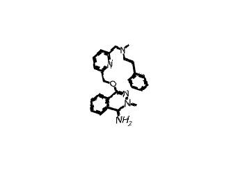 CN(CCc1ccccc1)Cc1cccc(COC2=NN(C)C(N)c3ccccc32)n1